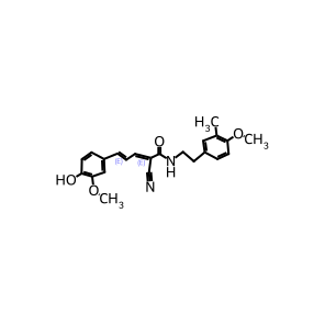 COc1ccc(CCNC(=O)/C(C#N)=C/C=C/c2ccc(O)c(OC)c2)cc1C